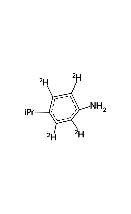 [2H]c1c([2H])c(C(C)C)c([2H])c([2H])c1N